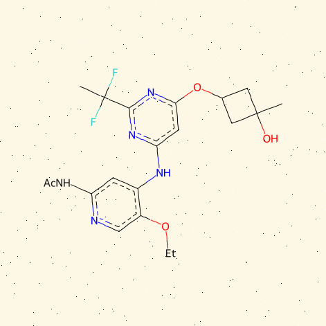 CCOc1cnc(NC(C)=O)cc1Nc1cc(OC2CC(C)(O)C2)nc(C(C)(F)F)n1